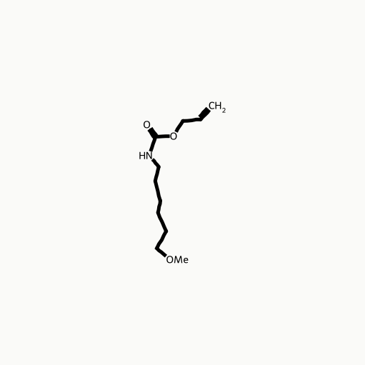 C=CCOC(=O)NCCCCCCOC